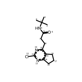 CC(C)(C)NC(=O)CCc1nc(Cl)nc2c1CCC2